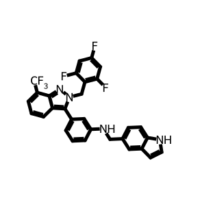 Fc1cc(F)c(Cn2nc3c(C(F)(F)F)cccc3c2-c2cccc(NCc3ccc4[nH]ccc4c3)c2)c(F)c1